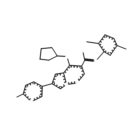 Cc1ccc(-c2cc3c(NC4CCCC4)c(/C(N)=N/c4cc(F)ccc4Cl)cnn3c2)cn1